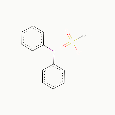 CCCCCCCCS(=O)(=O)[O-].c1ccc([I+]c2ccccc2)cc1